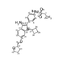 CCS(=O)(=O)Nc1ccc(-c2c(N)c3ccc(OC[C@H]4CCCO4)cc3n2C2CCC2)cc1